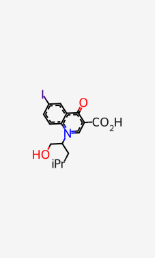 CC(C)CC(CO)n1cc(C(=O)O)c(=O)c2cc(I)ccc21